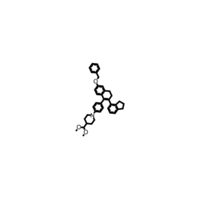 COC(OC)C1CCN(c2ccc(C3=C(c4cccc5c4CCC5)CCc4cc(OCc5ccccc5)ccc43)cc2)CC1